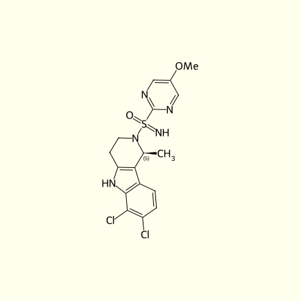 COc1cnc(S(=N)(=O)N2CCc3[nH]c4c(Cl)c(Cl)ccc4c3[C@@H]2C)nc1